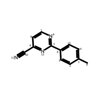 Cc1ccc(-c2nccc(C#N)n2)cc1